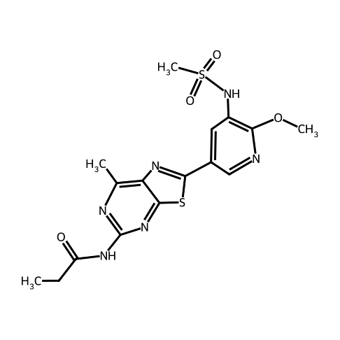 CCC(=O)Nc1nc(C)c2nc(-c3cnc(OC)c(NS(C)(=O)=O)c3)sc2n1